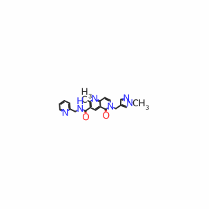 Cc1nc2ccn(Cc3cnn(C)c3)c(=O)c2cc1C(=O)NCc1ccccn1